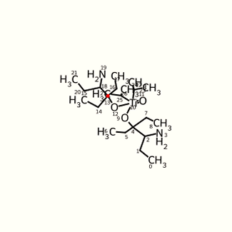 CCC(N)C(CC)(CC)[O][Ti](=[O])([O]C(CC)(CC)C(N)CC)([CH](C)C)[CH](C)C